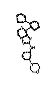 c1ccc(-c2ccccc2-c2nccn3nc(Nc4cccc(N5CCOCC5)c4)nc23)cc1